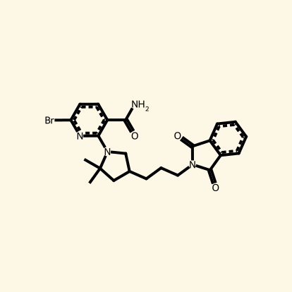 CC1(C)CC(CCCN2C(=O)c3ccccc3C2=O)CN1c1nc(Br)ccc1C(N)=O